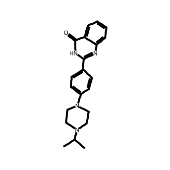 CC(C)N1CCN(c2ccc(-c3nc4ccccc4c(=O)[nH]3)cc2)CC1